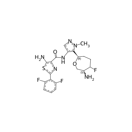 Cn1ncc(NC(=O)c2nc(-c3c(F)cccc3F)sc2N)c1[C@H]1CCC(F)[C@@H](N)CO1